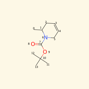 CC1CC=CCN1C(=O)OC(C)(C)C